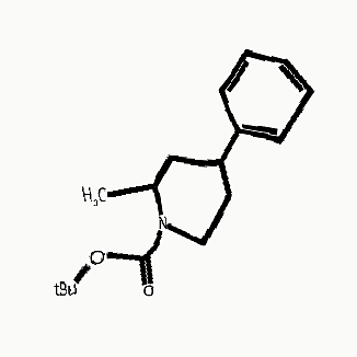 CC1CC(c2ccccc2)CCN1C(=O)OC(C)(C)C